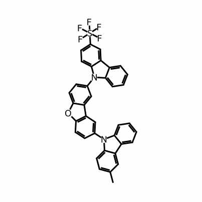 Cc1ccc2c(c1)c1ccccc1n2-c1ccc2oc3ccc(-n4c5ccccc5c5cc(S(F)(F)(F)(F)F)ccc54)cc3c2c1